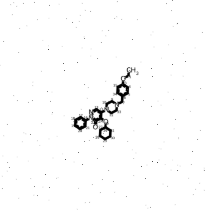 CCOc1ccc(CN2CCN(c3cnn(-c4ccccc4)c(=O)c3OC3CCCCC3)CC2)cc1